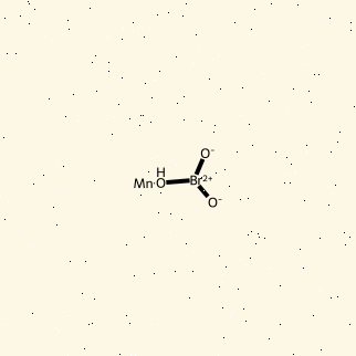 [Mn].[O-][Br+2]([O-])O